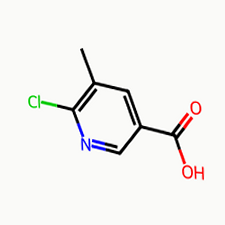 Cc1cc(C(=O)O)cnc1Cl